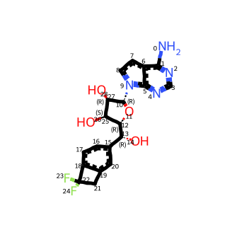 Nc1ncnc2c1ccn2[C@@H]1O[C@H]([C@H](O)c2ccc3c(c2)CC3(F)F)[C@@H](O)[C@H]1O